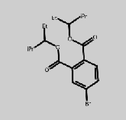 CCC(OC(=O)c1ccc(Br)cc1C(=O)OC(CC)C(C)C)C(C)C